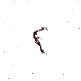 C=CC(=O)OCCCCCCOc1cnc(OCOc2ccc3c(c2)C(C)c2cc(OC(=O)c4ncc(OCCCCCCOC(=O)C=C)cn4)ccc2-3)nc1